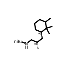 CCCCNC[C@@H](C)C[C@H]1CCCC(C)C1(C)C